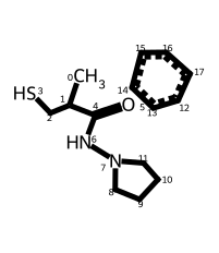 CC(CS)C(=O)NN1CCCC1.c1ccccc1